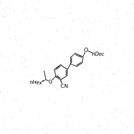 CCCCCCCCCCOc1ccc(-c2ccc(O[C@H](C)CCCCCC)c(C#N)c2)cc1